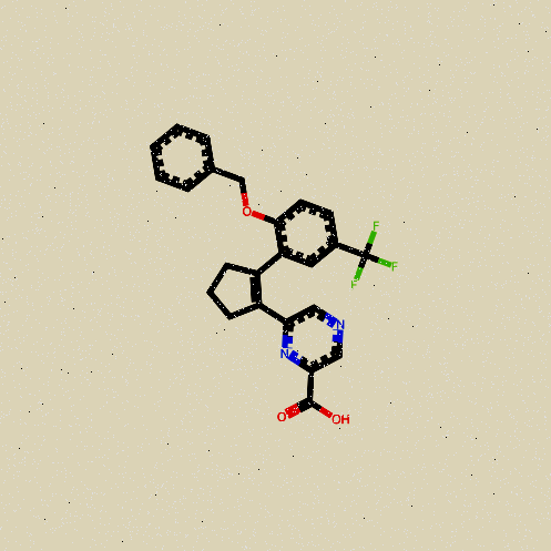 O=C(O)c1cncc(C2=C(c3cc(C(F)(F)F)ccc3OCc3ccccc3)CCC2)n1